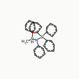 C[SiH](c1ccccc1)N(c1ccccc1)[Si](c1ccccc1)(c1ccccc1)c1ccccc1